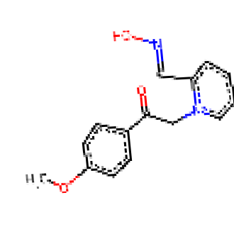 COc1ccc(C(=O)C[n+]2ccccc2C=NO)cc1